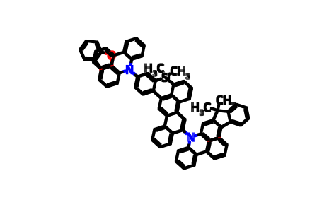 CC1(C)c2ccccc2-c2ccc(N(c3ccccc3-c3ccccc3)c3cc4c5cccc6c5c(cc4c4ccccc34)-c3ccc(N(c4ccccc4-c4ccccc4)c4cccc5c4oc4ccccc45)cc3[Si]6(C)C)cc21